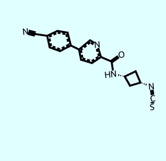 N#Cc1ccc(-c2ccc(C(=O)N[C@H]3C[C@@H](N=C=S)C3)nc2)cc1